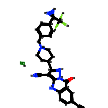 C#Cc1ccc2[nH]c3c(C#N)c(C4CCN(Cc5ccc(C6(C(F)(F)F)N=N6)cc5)CC4)nn3c(=O)c2c1.Cl